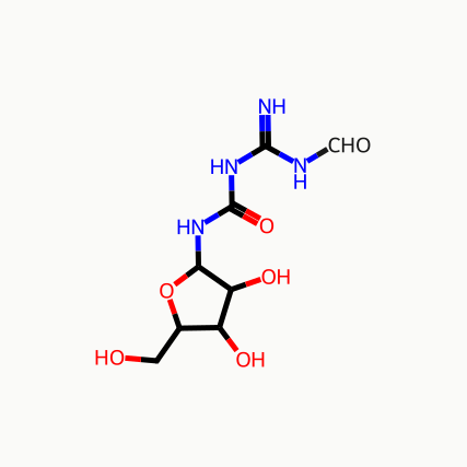 N=C(NC=O)NC(=O)NC1OC(CO)C(O)C1O